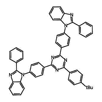 CC(C)(C)c1ccc(-c2nc(-c3ccc(-n4c(-c5ccccc5)nc5ccccc54)cc3)nc(-c3ccc(-n4c(-c5ccccc5)nc5ccccc54)cc3)n2)cc1